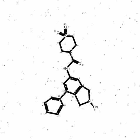 N#CN1Cc2cc(NC(=O)C3CCS(=O)(=O)CC3)cc(-c3ccccc3)c2C1